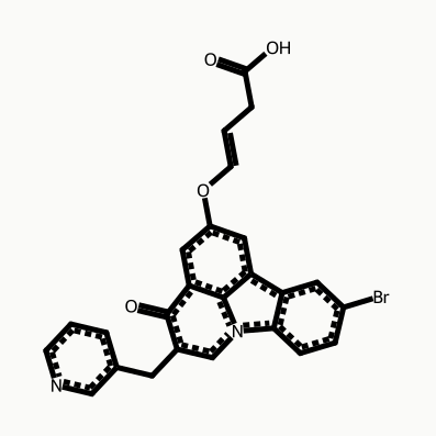 O=C(O)CC=COc1cc2c(=O)c(Cc3cccnc3)cn3c4ccc(Br)cc4c(c1)c23